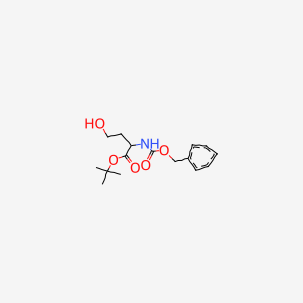 CC(C)(C)OC(=O)C(CCO)NC(=O)OCc1ccccc1